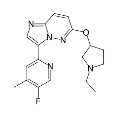 CCN1CCC(Oc2ccc3ncc(-c4cc(C)c(F)cn4)n3n2)C1